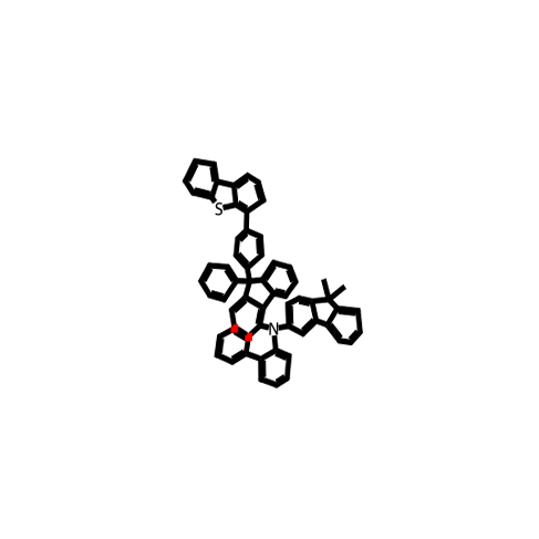 CC1(C)c2ccccc2-c2cc(N(c3ccccc3-c3ccccc3)c3cccc4c3-c3ccccc3C4(c3ccccc3)c3ccc(-c4cccc5c4sc4ccccc45)cc3)ccc21